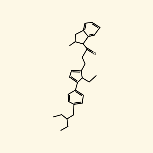 CCC(CC)Cc1ccc(C2=CC=C(CCC(=O)C3c4ccccc4CC3C)C2CC)cc1